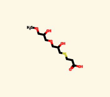 COCC(O)COCC(O)CSCCC(=O)O